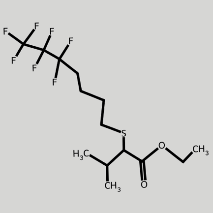 CCOC(=O)C(SCCCCC(F)(F)C(F)(F)C(F)(F)F)C(C)C